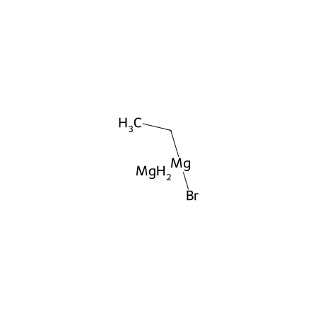 C[CH2][Mg][Br].[MgH2]